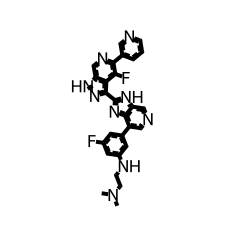 CN(C)CCNc1cc(F)cc(-c2cncc3[nH]c(-c4n[nH]c5cnc(-c6cccnc6)c(F)c45)nc23)c1